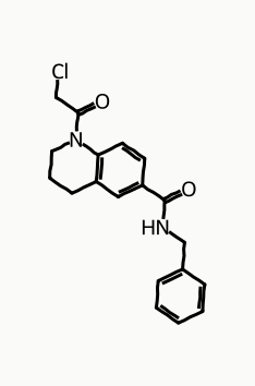 O=C(NCc1ccccc1)c1ccc2c(c1)CCCN2C(=O)CCl